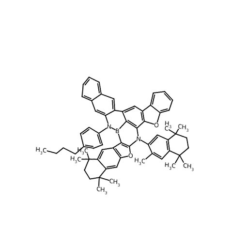 CCCCc1ccc(N2B3c4c(cc5c(oc6ccccc65)c4N(c4cc5c(cc4C)C(C)(C)CCC5(C)C)c4oc5cc6c(cc5c43)C(C)(C)CCC6(C)C)-c3cc4ccccc4cc32)cc1